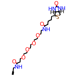 C#CCNC(=O)CCOCCOCCOCCOCCNC(=O)CCCC[C@@H]1SC[C@@H]2NC(=O)N[C@@H]21